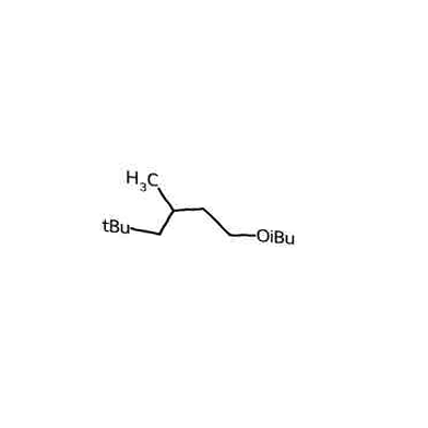 CC(C)COCCC(C)CC(C)(C)C